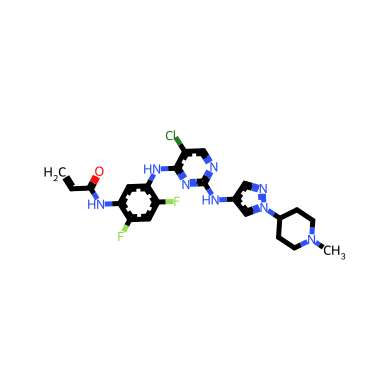 C=CC(=O)Nc1cc(Nc2nc(Nc3cnn(C4CCN(C)CC4)c3)ncc2Cl)c(F)cc1F